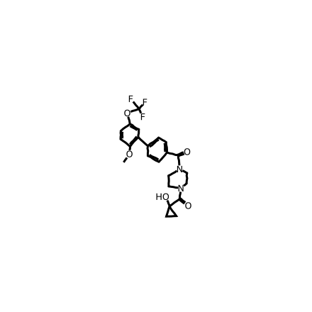 COc1ccc(OC(F)(F)F)cc1-c1ccc(C(=O)N2CCN(C(=O)C3(O)CC3)CC2)cc1